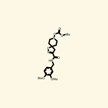 COc1ccc(CNC(=O)C2=NOC3(CCN(OC(=O)OC(C)(C)C)CC3)C2)cc1OC